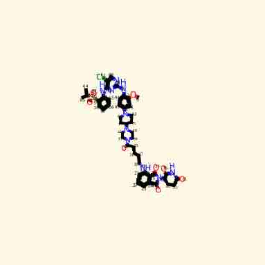 COc1cc(N2CCC(N3CCN(C(=O)CCCCNc4cccc5c4C(=O)N(C4CCC(=O)NC4=O)C5=O)CC3)CC2)ccc1Nc1ncc(Cl)c(Nc2ccccc2S(=O)(=O)C(C)C)n1